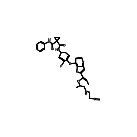 C/C=C(\OC(C)CNCCOC)c1cc2nccc(OC3=CCC(NC(=O)C4(C(=O)Nc5ccccc5)CC4)C=C3F)c2s1